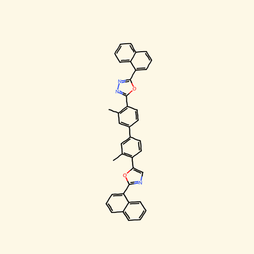 Cc1cc(-c2ccc(-c3nnc(-c4cccc5ccccc45)o3)c(C)c2)ccc1-c1cnc(-c2cccc3ccccc23)o1